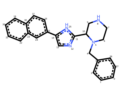 c1ccc(CN2CCNCC2c2ncc(-c3ccc4ccccc4c3)[nH]2)cc1